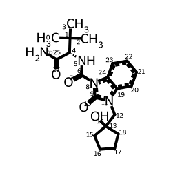 CC(C)(C)[C@H](NC(=O)n1c(=O)n(CC2(O)CCCC2)c2ccccc21)C(N)=O